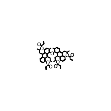 C=CC(=O)OC(C)Cc1c2ccccc2c(CC(C)OC(=O)C=C)c2c(Oc3c(C)ccc4c(CC(C)OC(=O)C=C)c5ccccc5c(CC(C)OC(=O)C=C)c34)c(C)ccc12